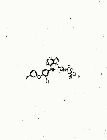 CS(=O)(=O)CC(=O)NCCn1ccc2ncnc(Nc3ccc(Oc4cccc(F)c4)c(Cl)c3)c21